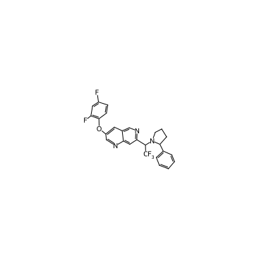 Fc1ccc(Oc2cnc3cc(C(N4CCCC4c4ccccc4)C(F)(F)F)ncc3c2)c(F)c1